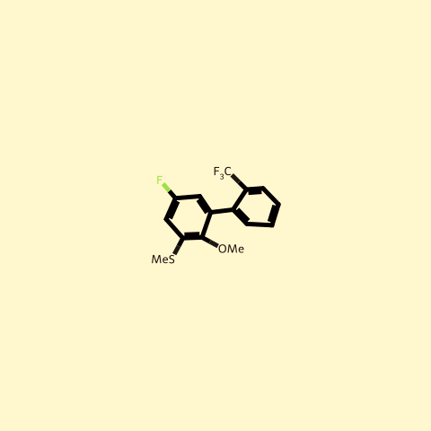 COc1c(SC)cc(F)cc1-c1ccccc1C(F)(F)F